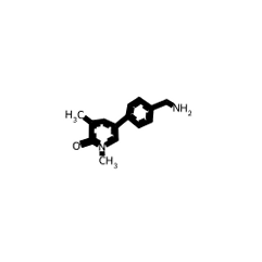 Cc1cc(-c2ccc(CN)cc2)cn(C)c1=O